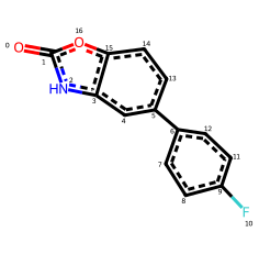 O=c1[nH]c2cc(-c3ccc(F)cc3)ccc2o1